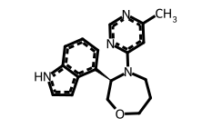 Cc1cc(N2CCCOC[C@H]2c2cccc3[nH]ccc23)ncn1